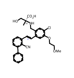 COCCOc1cc(/C=C/c2cccc(-c3ccccc3)c2C#N)c(CN[C@@](C)(CO)C(=O)O)cc1Cl